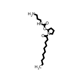 CCCCCCCCCCC(=O)N1CCC[C@@H]1OC(=O)NCCCN